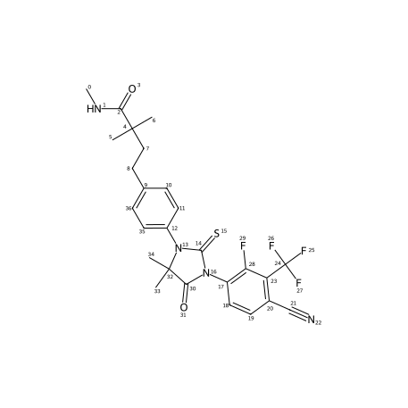 CNC(=O)C(C)(C)CCc1ccc(N2C(=S)N(c3ccc(C#N)c(C(F)(F)F)c3F)C(=O)C2(C)C)cc1